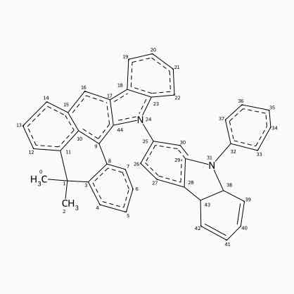 CC1(C)c2ccccc2-c2c3c1cccc3cc1c3ccccc3n(-c3ccc4c(c3)N(c3ccccc3)C3C=CC=CC43)c21